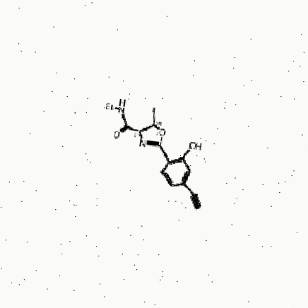 C#Cc1ccc(C2=N[C@@H](C(=O)NCC)[C@@H](C)O2)c(O)c1